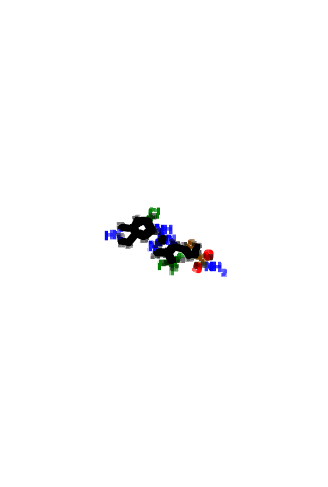 NS(=O)(=O)c1csc(-c2nc(Nc3cc4c(cc3Cl)CNCC4)ncc2C(F)(F)F)c1